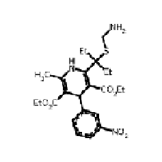 CCOC(=O)C1=C(C)NC(C(CC)(CC)SCN)=C(C(=O)OCC)C1c1cccc([N+](=O)[O-])c1